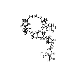 CC1(C)C[C@H]2CCCCn3cc(cn3)S(=O)(=O)NC(=O)c3ccc(-n4ccc(OCCC5(C(F)(F)F)CC5)n4)nc3N1C2